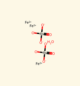 O.O=[As]([O-])([O-])[O-].O=[As]([O-])([O-])[O-].[Fe+2].[Fe+2].[Fe+2]